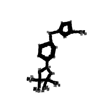 Cn1ccc(Oc2ccc(B3OC(C)(C)C(C)(C)O3)cc2)c1